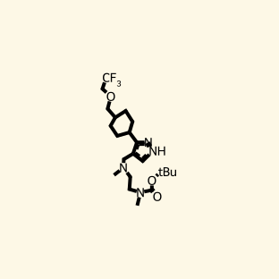 CN(CCN(C)C(=O)OC(C)(C)C)Cc1c[nH]nc1C1CCC(COCC(F)(F)F)CC1